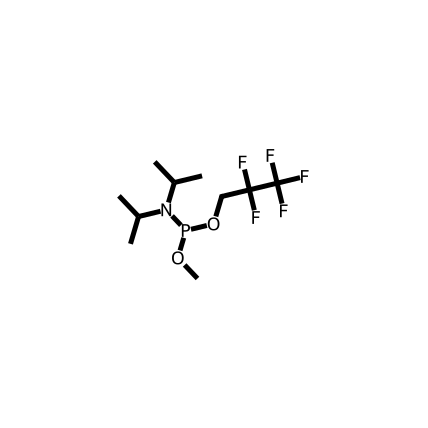 COP(OCC(F)(F)C(F)(F)F)N(C(C)C)C(C)C